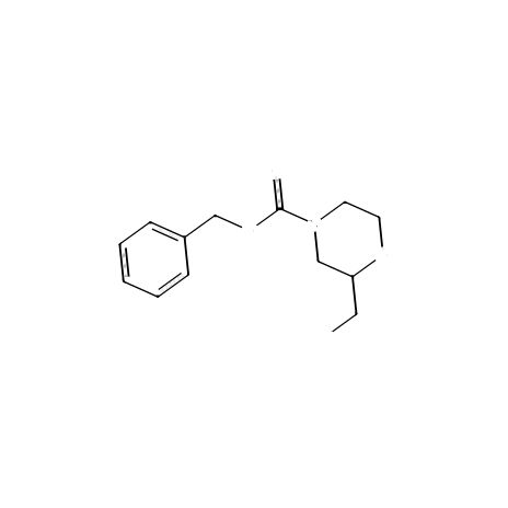 O=CCC1CN(C(=O)OCc2ccccc2)CCO1